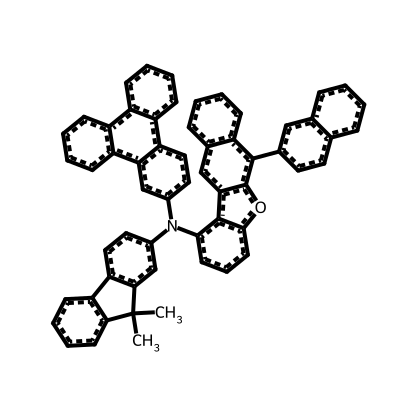 CC1(C)c2ccccc2-c2ccc(N(c3ccc4c5ccccc5c5ccccc5c4c3)c3cccc4oc5c(-c6ccc7ccccc7c6)c6ccccc6cc5c34)cc21